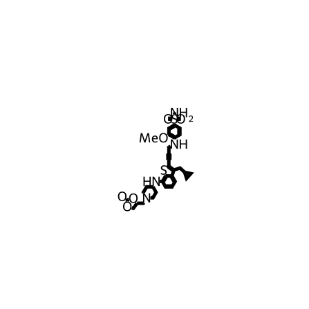 COc1cc(S(N)(=O)=O)ccc1NCC#Cc1sc2c(NC3CCN(CC4COC(=O)O4)CC3)cccc2c1CC1CC1